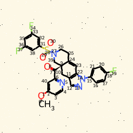 COc1ccnc(C(=O)[C@]23Cc4cnn(-c5ccc(F)cc5)c4C=C2CCN(S(=O)(=O)c2cc(F)cc(F)c2)C3)c1